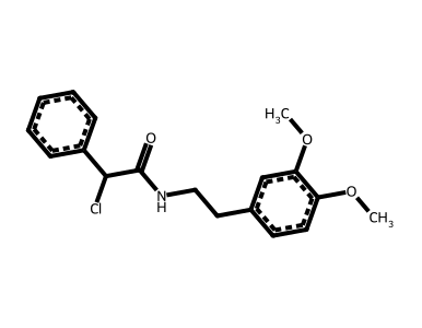 COc1ccc(CCNC(=O)C(Cl)c2ccccc2)cc1OC